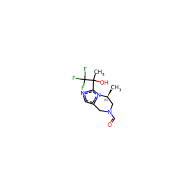 C[C@H]1CN(C=O)Cc2cnc(C(C)(O)C(F)(F)F)n21